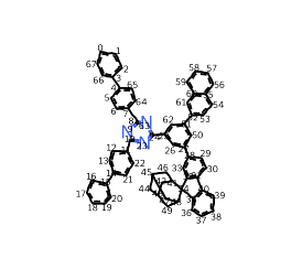 c1ccc(-c2ccc(-c3nc(-c4ccc(-c5ccccc5)cc4)nc(-c4cc(-c5ccc6c(c5)C5(c7ccccc7-6)C6CC7CC(C6)CC5C7)cc(-c5ccc6ccccc6c5)c4)n3)cc2)cc1